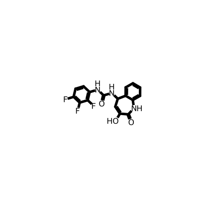 O=C(Nc1ccc(F)c(F)c1F)NC1C=C(O)C(=O)Nc2ccccc21